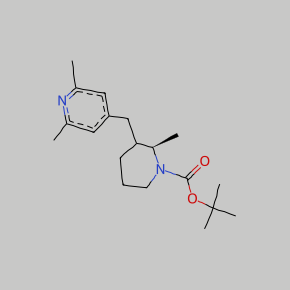 Cc1cc(CC2CCCN(C(=O)OC(C)(C)C)[C@@H]2C)cc(C)n1